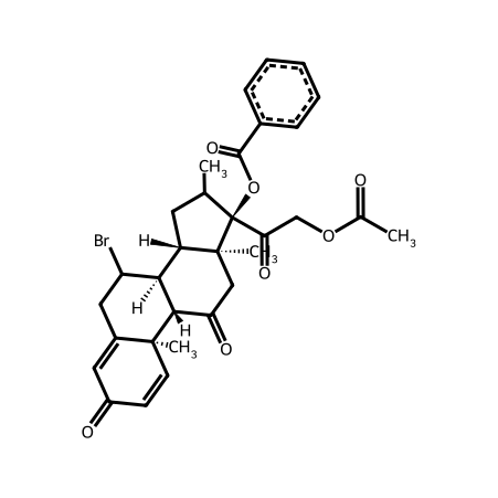 CC(=O)OCC(=O)[C@@]1(OC(=O)c2ccccc2)C(C)C[C@H]2[C@@H]3C(Br)CC4=CC(=O)C=C[C@]4(C)[C@H]3C(=O)C[C@@]21C